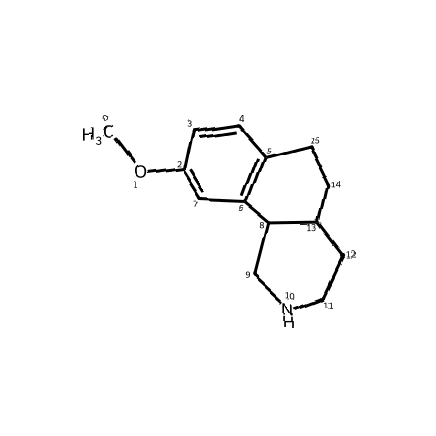 COc1ccc2c(c1)C1CNCCC1CC2